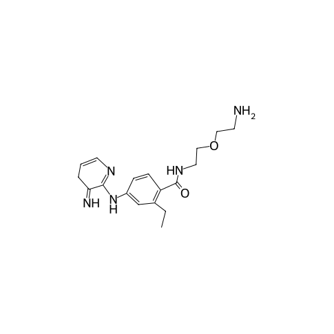 CCc1cc(NC2=NC=CCC2=N)ccc1C(=O)NCCOCCN